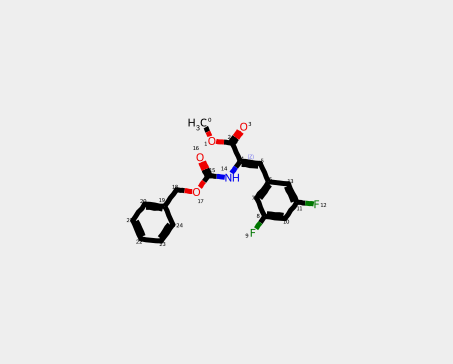 COC(=O)/C(=C/c1cc(F)cc(F)c1)NC(=O)OCc1ccccc1